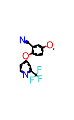 COc1ccc(Oc2ccnc(C(F)(F)F)c2)c(C#N)c1